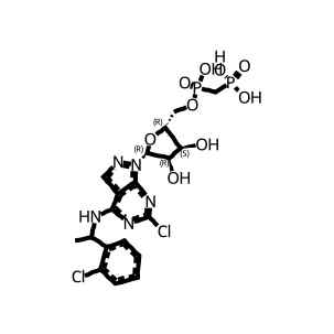 CC(Nc1nc(Cl)nc2c1cnn2[C@@H]1O[C@H](COP(=O)(O)CP(=O)(O)O)[C@@H](O)[C@H]1O)c1ccccc1Cl